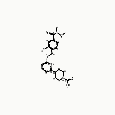 CON(C)C(=O)c1ccc(COc2cccc(C3CCN(C(=O)O)CC3)n2)c(F)c1